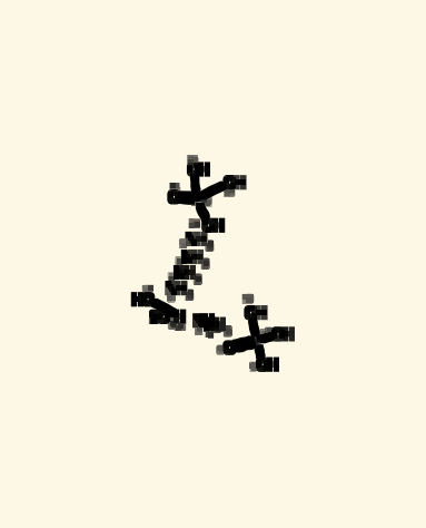 N.N.N.N.N.N.O=P(O)(O)O.O=P(O)(O)O.O=S(=O)(O)O